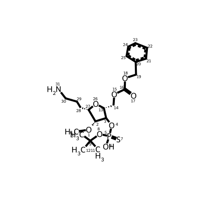 CO[C@H]1C(OP(O)(=S)OC(C)(C)C)[C@@H](COC(=O)OCc2ccccc2)O[C@H]1CCCN